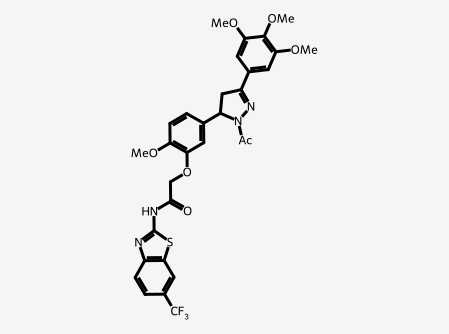 COc1ccc(C2CC(c3cc(OC)c(OC)c(OC)c3)=NN2C(C)=O)cc1OCC(=O)Nc1nc2ccc(C(F)(F)F)cc2s1